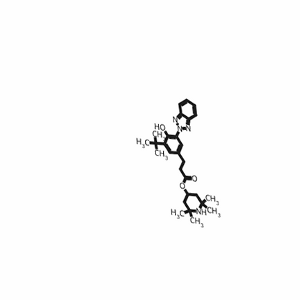 CC1(C)CC(OC(=O)CCc2cc(-n3nc4ccccc4n3)c(O)c(C(C)(C)C)c2)CC(C)(C)N1